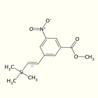 COC(=O)c1cc(/C=C/[Si](C)(C)C)cc([N+](=O)[O-])c1